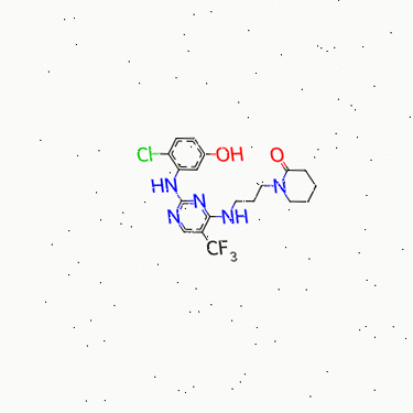 O=C1CCCCN1CCCNc1nc(Nc2cc(O)ccc2Cl)ncc1C(F)(F)F